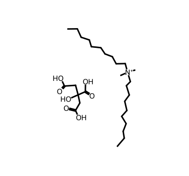 CCCCCCCCCC[N+](C)(C)CCCCCCCCCC.O=C(O)CC(O)(CC(=O)O)C(=O)O